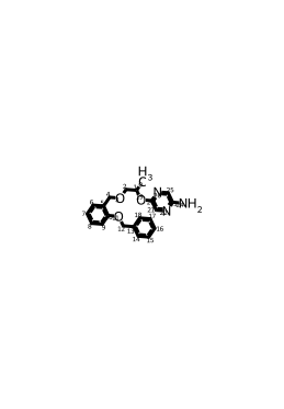 CC(COCc1ccccc1OCc1ccccc1)Oc1cnc(N)cn1